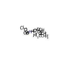 CC(C)(C)OC(=O)C(C)(C)Oc1ccc(/C=C/C(=O)c2ccc(Cl)cc2O)cc1